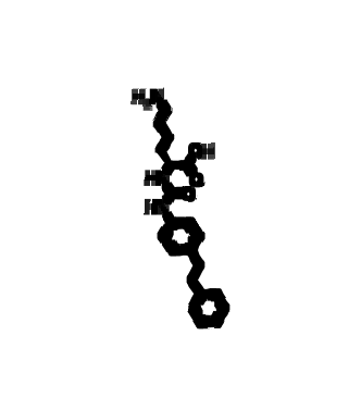 NCCCC[C@H](NC(=O)Nc1ccc(CCc2ccccc2)cc1)C(=O)O